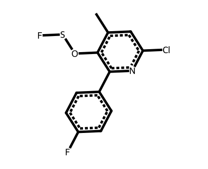 Cc1cc(Cl)nc(-c2ccc(F)cc2)c1OSF